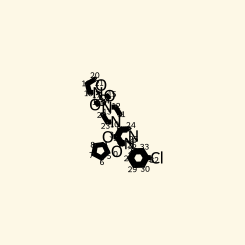 O=c1c(OC2CCCC2)c(N2CCN(S(=O)(=O)N3CCCO3)CC2)cnn1-c1cccc(Cl)c1